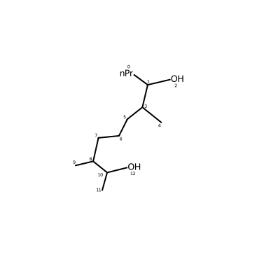 CCCC(O)C(C)CCCC(C)C(C)O